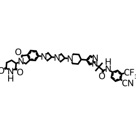 CC(C)(C(=O)Nc1ccc(C#N)c(C(F)(F)F)c1)n1cc(C2CCN(C3CN(C4CN(c5ccc6c(c5)CN(C5CCC(=O)NC5=O)C6=O)C4)C3)CC2)cn1